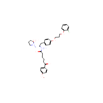 COc1ccc(C(=O)CCCCC(=O)N[C@H](CN2CCCC2)[C@H](O)c2ccc(OCCCOc3ccccc3F)cc2)cc1